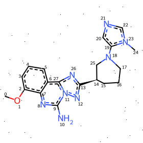 COc1cccc2c1nc(N)n1nc([C@@H]3CCCN(c4cncn4C)C3)nc21